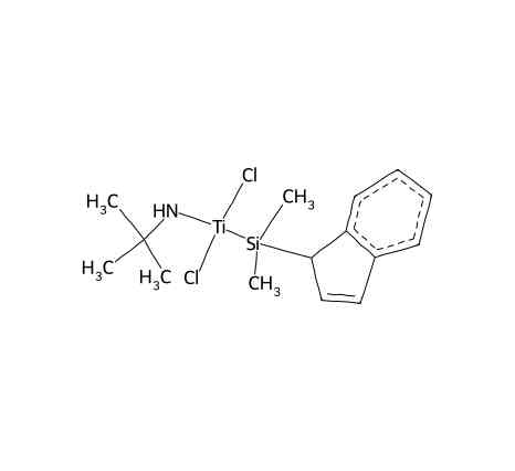 CC(C)(C)[NH][Ti]([Cl])([Cl])[Si](C)(C)C1C=Cc2ccccc21